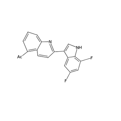 CC(=O)c1cccc2nc(-c3c[nH]c4c(F)cc(F)cc34)ccc12